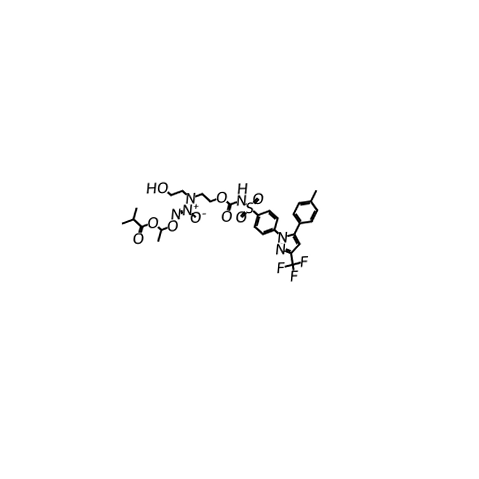 Cc1ccc(-c2cc(C(F)(F)F)nn2-c2ccc(S(=O)(=O)NC(=O)OCCN(CCO)[N+]([O-])=NOC(C)OC(=O)C(C)C)cc2)cc1